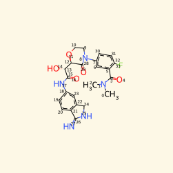 CN(C)C(=O)c1cc(N2CCO[C@H]([C@@H](O)C(=O)Nc3ccc4c(c3)CNC4=N)C2=O)ccc1F